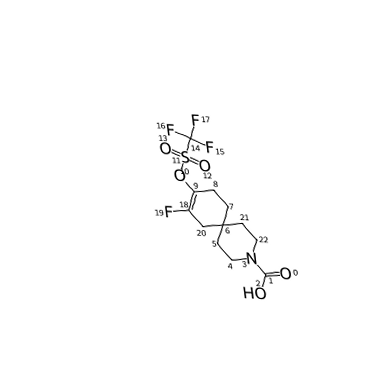 O=C(O)N1CCC2(CCC(OS(=O)(=O)C(F)(F)F)=C(F)C2)CC1